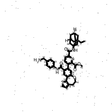 CCC12C[C@H]3C[C@@H](C1)CC(NC(=O)c1ccc(-c4cc5c(cc4C(=O)Nc4ccc(CN)cc4)-c4sccc4CCO5)c(C(=O)OC)n1)(C3)C2